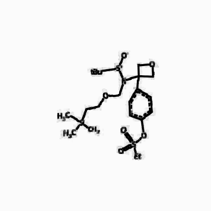 CCS(=O)(=O)Oc1ccc(C2(N(COCC[Si](C)(C)C)[S+]([O-])C(C)(C)C)COC2)cc1